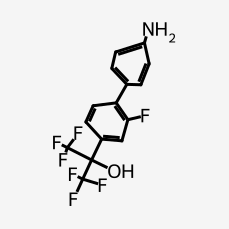 Nc1ccc(-c2ccc(C(O)(C(F)(F)F)C(F)(F)F)cc2F)cc1